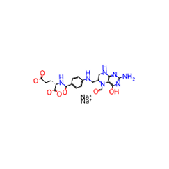 Nc1nc(O)c2c(n1)NC[C@H](CNc1ccc(C(=O)N[C@@H](CCC(=O)[O-])C(=O)[O-])cc1)N2C=O.[Na+].[Na+]